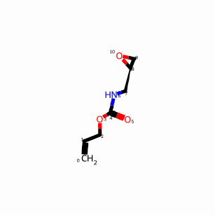 C=CCOC(=O)NC[C@@H]1CO1